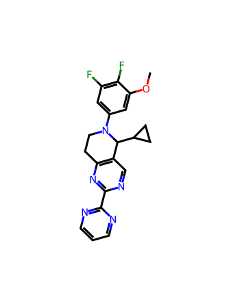 COc1cc(N2CCc3nc(-c4ncccn4)ncc3C2C2CC2)cc(F)c1F